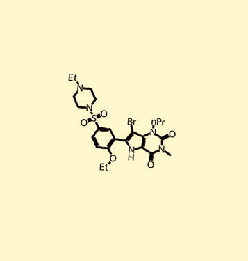 CCCn1c(=O)n(C)c(=O)c2[nH]c(-c3cc(S(=O)(=O)N4CCN(CC)CC4)ccc3OCC)c(Br)c21